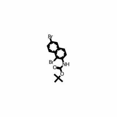 CC(C)(C)OC(=O)Nc1ccc2cc(Br)ccc2c1Br